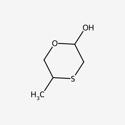 CC1COC(O)CS1